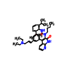 CCCCN(C(=O)Nc1c(C(C)C)cccc1C(C)C)c1c(-c2cccc(C=CCN(CC)CC)c2)c2cccnc2[nH]c1=O